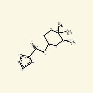 C[C@H]1CC(OC(=O)c2ccco2)CCC1(C)C